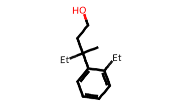 CCc1ccccc1C(C)(CC)CCO